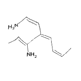 C\C=C/C=C(/C=C\N)C(\N)=C\C